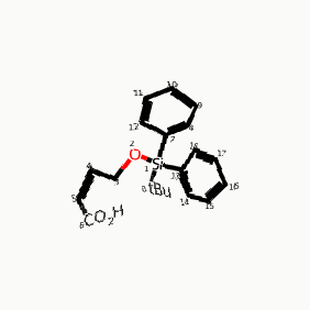 CC(C)(C)[Si](OC/C=C\C(=O)O)(c1ccccc1)c1ccccc1